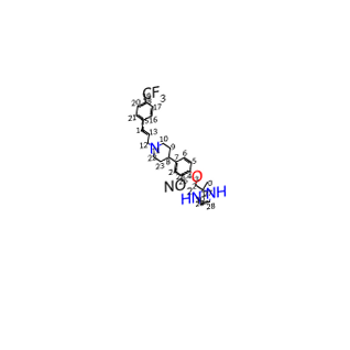 CC1(COc2ccc(C3CCN(CC=Cc4ccc(C(F)(F)F)cc4)CC3)cc2[N+](=O)[O-])NC=CN1